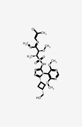 C=N/C(=N\C=C(/C)Cl)[C@@H](OC)[C@H](C)S(=O)(=O)Nc1nnc([C@H]2C[C@@H](CO)C2)n1-c1c(OC)ncnc1OC